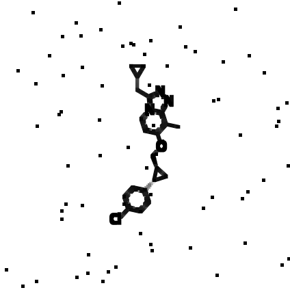 Cc1c(OC[C@H]2C[C@@H]2c2ccc(Cl)cc2)ccn2c(CC3CC3)nnc12